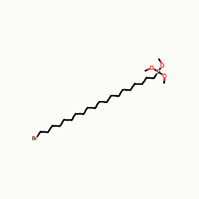 CO[Si](CCCCCCCCCCCCCCCCCCCCBr)(OC)OC